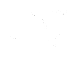 CCOC(=O)NN.CCOC(=O)c1c2cccc1S2(=O)=O